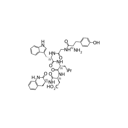 CC(C)C[C@H](NC(=O)[C@H](Cc1c[nH]c2ccccc12)NC(=O)CNC(=O)[C@@H](N)Cc1ccc(O)cc1)C(=O)N[C@@H](CC(=O)O)C(=O)N[C@@H](Cc1ccccc1)C(N)=O